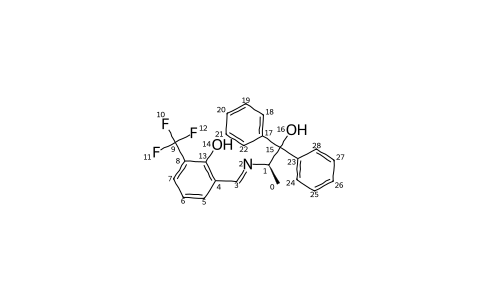 C[C@@H](N=Cc1cccc(C(F)(F)F)c1O)C(O)(c1ccccc1)c1ccccc1